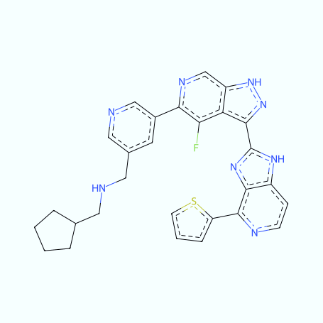 Fc1c(-c2cncc(CNCC3CCCC3)c2)ncc2[nH]nc(-c3nc4c(-c5cccs5)nccc4[nH]3)c12